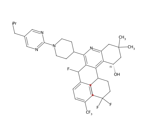 CC(C)Cc1cnc(N2CCC(c3nc4c(c(C5CCC(F)(F)CC5)c3C(F)c3ccc(C(F)(F)F)cc3)[C@@H](O)CC(C)(C)C4)CC2)nc1